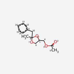 CC(=O)OCC1COC(C)(Cc2ccccc2)O1